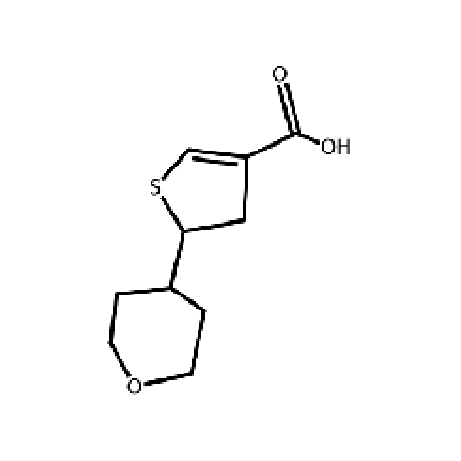 O=C(O)C1=CSC(C2CCOCC2)C1